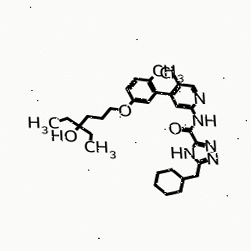 CCC(O)(CC)CCCOc1ccc(C)c(-c2cc(NC(=O)c3nnc(CC4CCCCC4)[nH]3)ncc2Cl)c1